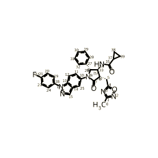 Cc1noc(C[C@@H]2C(=O)N(c3ccc4c(cnn4-c4ccc(F)cc4)c3)[C@H](c3ccccc3)[C@H]2NC(=O)C2CC2)n1